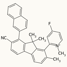 Cc1ccc2c(c1-c1cc(F)cc[n+]1C)C(C)(C)c1c-2ccc(C#N)c1-c1ccc2ccccc2c1